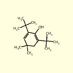 CC1(C)C=C(C(C)(C)C)C(O)=C(C(C)(C)C)C1